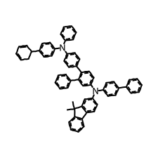 CC1(C)c2ccccc2-c2ccc(N(c3ccc(-c4ccccc4)cc3)c3ccc(-c4ccc(N(c5ccccc5)c5ccc(C6C=CC=CC6)cc5)cc4)c(-c4ccccc4)c3)cc21